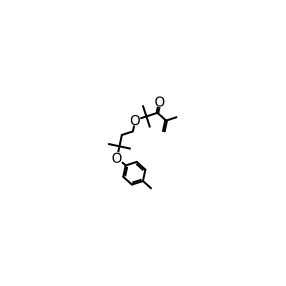 C=C(C)C(=O)C(C)(C)OCCC(C)(C)Oc1ccc(C)cc1